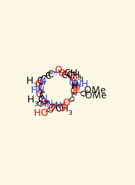 COc1ccc(CC[C@H]2OC(=O)[C@@H]3CNCCN3C(=O)C(=O)C(C)(C)COC(=O)/C=C/CCCCN(C)C(=O)CNC(=O)CN(C)C(=O)[C@@H](Cc3ccccc3)NC(=O)[C@H](Cc3ccc(O)cc3)N(C)C(=O)COc3cccc2c3)cc1OC